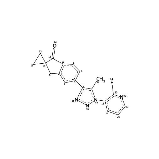 Cc1c(-c2ccc3c(c2)CC2(CC2)C3=O)nnn1-c1cccnc1F